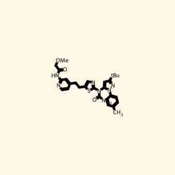 COCC(=O)Nc1cc(CCc2cnc(N(C(N)=O)c3cc(C(C)(C)C)nn3-c3ccc(C)cc3)s2)ccn1